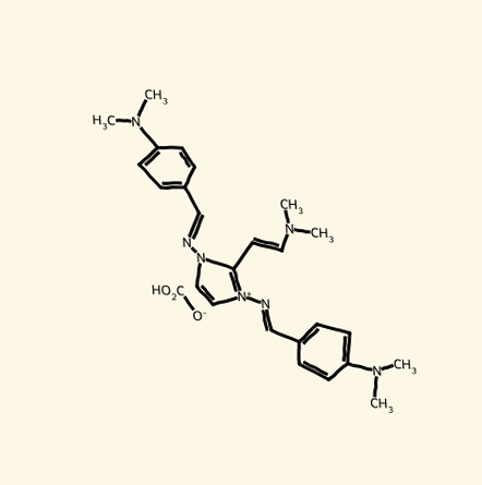 CN(C)C=Cc1n(N=Cc2ccc(N(C)C)cc2)cc[n+]1N=Cc1ccc(N(C)C)cc1.O=C([O-])O